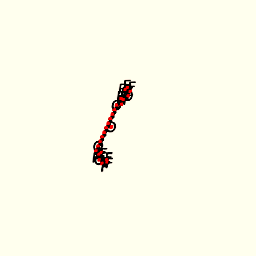 O=C(CCCCCCCCOc1ccc(C(F)(F)Oc2cc(F)c(F)c(F)c2)c(F)c1)CCCCCCCCOc1ccc(C(F)(F)Oc2cc(F)c(F)c(F)c2)c(F)c1